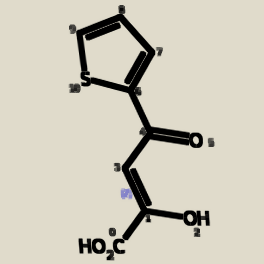 O=C(O)/C(O)=C/C(=O)c1cccs1